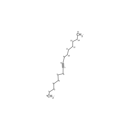 [CH2]CCCCCCC#CCCCCCC[CH2]